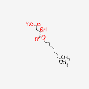 CC(C)CCCCCCCOC(=O)C(O)CC(=O)O